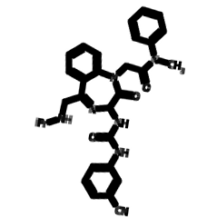 CC(C)NCC1=NC(NC(=O)Nc2cccc(C#N)c2)C(=O)N(CC(=O)N(C)c2ccccc2)c2ccccc21